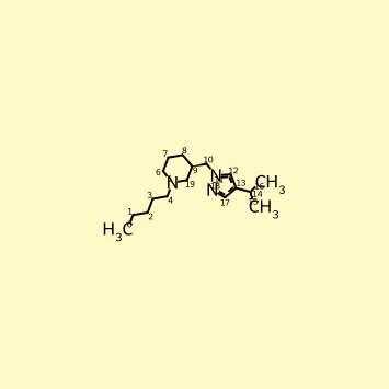 CCCCCN1CCC[C@@H](Cn2cc(C(C)C)cn2)C1